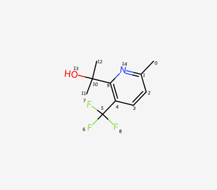 Cc1ccc(C(F)(F)F)c(C(C)(C)O)n1